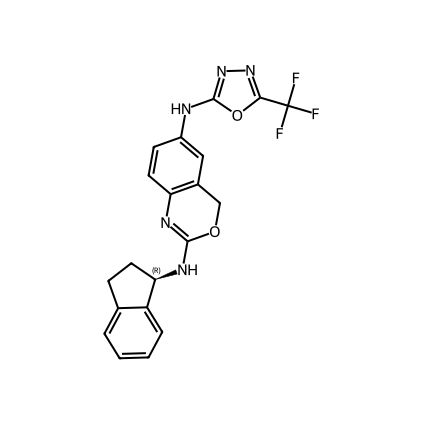 FC(F)(F)c1nnc(Nc2ccc3c(c2)COC(N[C@@H]2CCc4ccccc42)=N3)o1